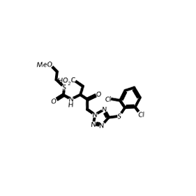 COCCSC(=O)NC(CC(=O)O)C(=O)Cn1nnc(Sc2c(Cl)cccc2Cl)n1